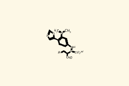 CC(C)CC(C=O)N(Nc1ccc(-c2cnco2)c(N(C)C)c1)C(=O)O